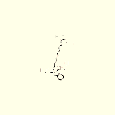 CC[N+](CC)(CCCCCCCCCCCC(C)C)Cc1ccccc1.[Cl-]